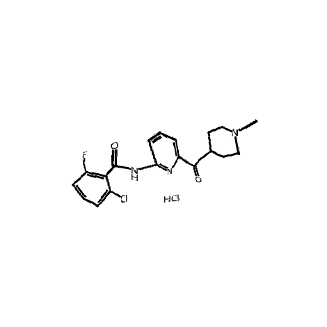 CN1CCC(C(=O)c2cccc(NC(=O)c3c(F)cccc3Cl)n2)CC1.Cl